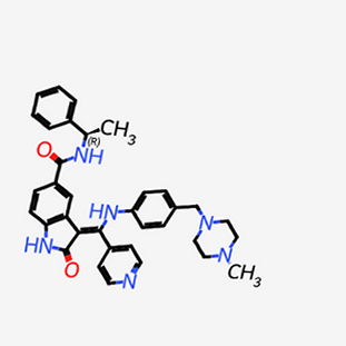 C[C@@H](NC(=O)c1ccc2c(c1)C(=C(Nc1ccc(CN3CCN(C)CC3)cc1)c1ccncc1)C(=O)N2)c1ccccc1